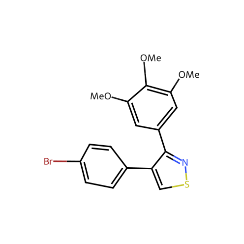 COc1cc(-c2nscc2-c2ccc(Br)cc2)cc(OC)c1OC